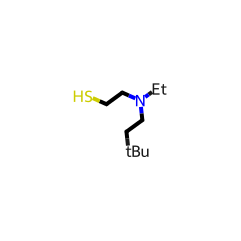 CCN(CCS)CCC(C)(C)C